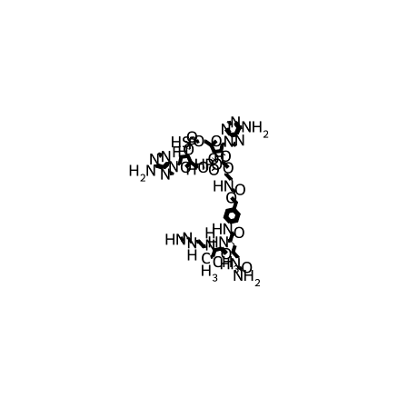 CC(C)[C@H](NCCNN=N)C(=O)N[C@@H](CCCNC(N)=O)C(=O)Nc1ccc(COC(=O)NCCOC(=O)O[C@@H]2[C@@H]3O[PH](=O)OC[C@H]4O[C@@H](n5cnc6c(N)ncnc65)[C@H](F)[C@@H]4O[P@@](=O)(S)OCC3O[C@H]2n2cnc3c(N)ncnc32)cc1